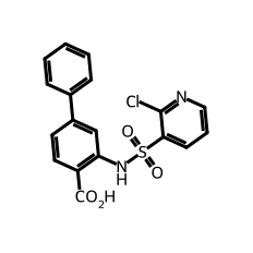 O=C(O)c1ccc(-c2ccccc2)cc1NS(=O)(=O)c1cccnc1Cl